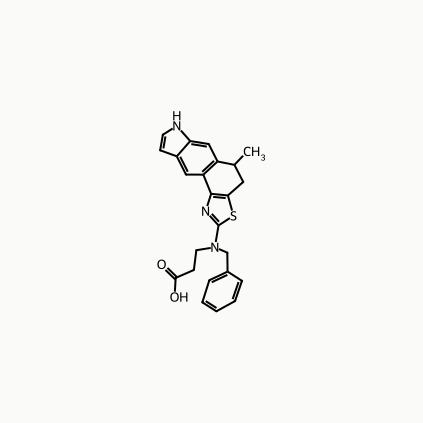 CC1Cc2sc(N(CCC(=O)O)Cc3ccccc3)nc2-c2cc3cc[nH]c3cc21